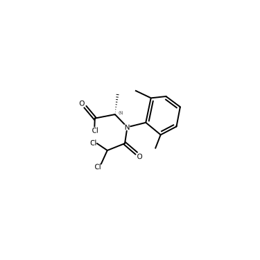 Cc1cccc(C)c1N(C(=O)C(Cl)Cl)[C@@H](C)C(=O)Cl